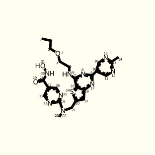 CCCOCCNc1nc(-c2cnc(C)nc2)nc2cc(CN(C)c3ncc(C(=O)NO)cn3)sc12